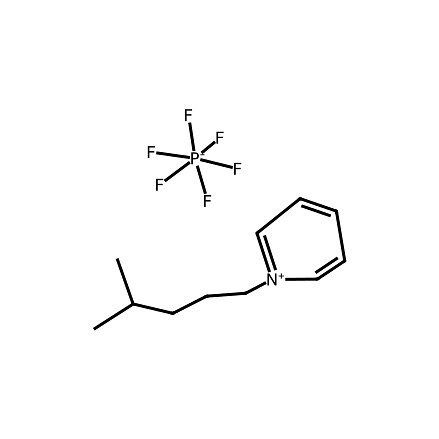 CC(C)CCC[n+]1ccccc1.F[P-](F)(F)(F)(F)F